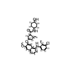 COc1cc2ncnc(Nc3cccc(Cl)c3F)c2cc1O[C@H]1C[C@H](C(=O)NC2CCC(O)CC2)N(C)C1